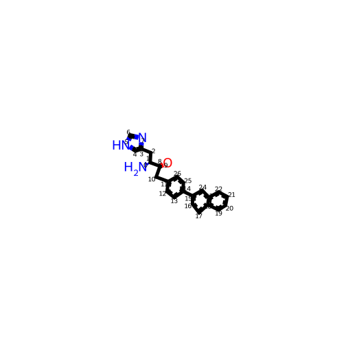 N[C@@H](Cc1c[nH]cn1)C(=O)Cc1ccc(-c2ccc3ccccc3c2)cc1